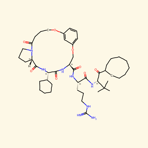 CC(C)(C)[C@H](NC(=O)[C@H](CCCNC(=N)N)NC(=O)[C@@H]1COc2cccc(c2)OCCCC(=O)N2CCC[C@H]2C(=O)N[C@@H](C2CCCCC2)C(=O)N1)C(=O)C1CCCCCCCC1